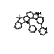 CC1(C)c2ccccc2-c2c1c1ccc3[nH]c4ccc(-c5ccccn5)cc4c3c1n2-c1ccccc1